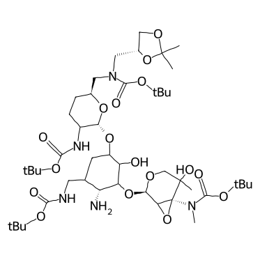 CN(C(=O)OC(C)(C)C)[C@]12OC1[C@@H](OC1C(O)C(O[C@H]3O[C@H](CN(C[C@@H]4COC(C)(C)O4)C(=O)OC(C)(C)C)CCC3NC(=O)OC(C)(C)C)CC(CNC(=O)OC(C)(C)C)[C@H]1N)OCC2(C)O